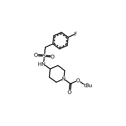 CC(C)(C)OC(=O)N1CCC(NS(=O)(=O)Cc2ccc(F)cc2)CC1